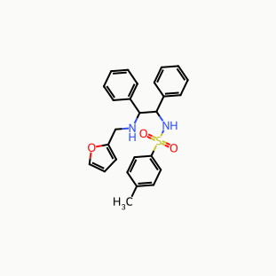 Cc1ccc(S(=O)(=O)NC(c2ccccc2)C(NCc2ccco2)c2ccccc2)cc1